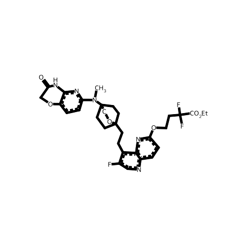 CCOC(=O)C(F)(F)CCOc1ccc2ncc(F)c(CCC34CCC(N(C)c5ccc6c(n5)NC(=O)CO6)(CC3)CO4)c2n1